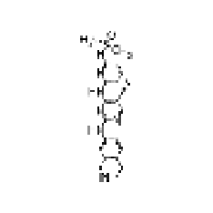 CS(C)(=O)=Nc1cccc(Nc2nc(Nc3ccc4c(c3)CNCC4)ncc2C#N)n1